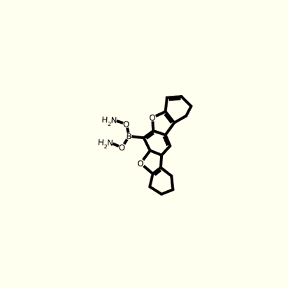 NOB(ON)C1=c2oc3c(c2=CC2C4=C(CCCC4)OC12)CCC=C3